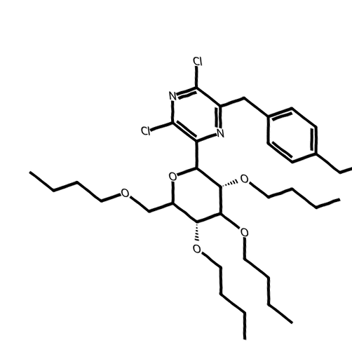 CCCCOCC1OC(c2nc(Cc3ccc(CC)cc3)c(Cl)nc2Cl)[C@H](OCCCC)C(OCCCC)[C@@H]1OCCCC